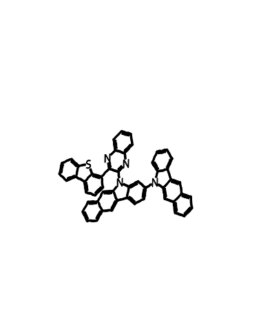 c1ccc2cc3c(cc2c1)c1ccccc1n3-c1ccc2c3cc4ccccc4cc3n(-c3nc4ccccc4nc3-c3cccc4c3sc3ccccc34)c2c1